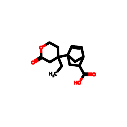 CCC1(C23C=CC(C2)C(C(=O)O)C3)CCOC(=O)C1